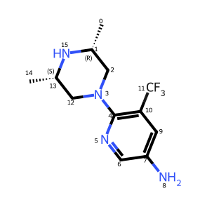 C[C@@H]1CN(c2ncc(N)cc2C(F)(F)F)C[C@H](C)N1